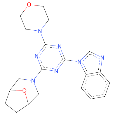 c1ccc2c(c1)ncn2-c1nc(N2CCOCC2)nc(N2CC3CCC(C2)O3)n1